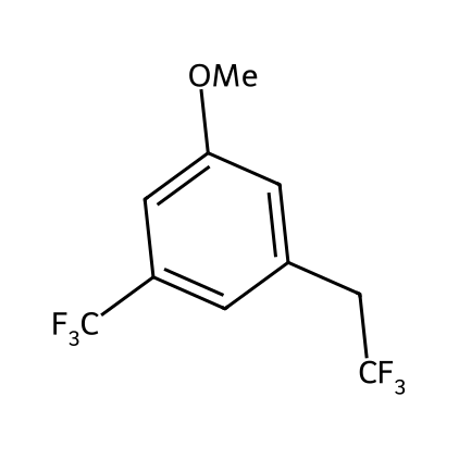 COc1cc(CC(F)(F)F)cc(C(F)(F)F)c1